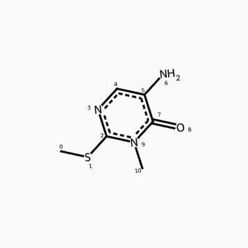 CSc1ncc(N)c(=O)n1C